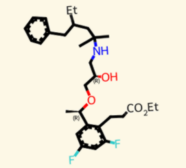 CCOC(=O)CCc1c(F)cc(F)cc1[C@@H](C)OC[C@H](O)CNC(C)(C)CC(CC)Cc1ccccc1